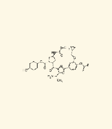 COC(=O)N[C@@H]1C[C@@H](C(=O)OC2CCC(O)CC2)N(C(=O)c2nc(-c3ccc(OC(F)F)c(OCC4CC4)c3)oc2[C@H](C)N)C1